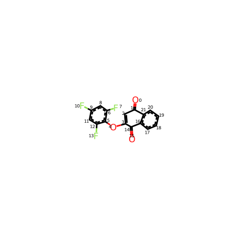 O=C1C=C(Oc2c(F)cc(F)cc2F)C(=O)c2ccccc21